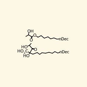 CCCCCCCCCCCCCCCCCCCC(O)(C(=O)O)C(=O)C(C)O.CCCCCCCCCCCCCCCCCOC(=O)C(C)O